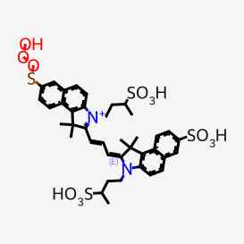 CC(CCN1/C(=C/C=CC2=[N+](CCC(C)S(=O)(=O)O)c3ccc4cc(SOOO)ccc4c3C2(C)C)C(C)(C)c2c1ccc1cc(S(=O)(=O)O)ccc21)S(=O)(=O)O